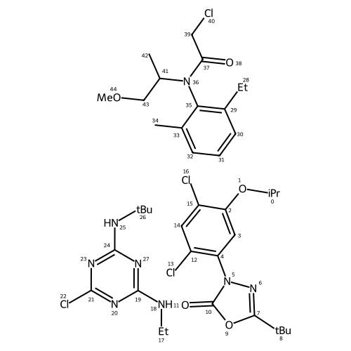 CC(C)Oc1cc(-n2nc(C(C)(C)C)oc2=O)c(Cl)cc1Cl.CCNc1nc(Cl)nc(NC(C)(C)C)n1.CCc1cccc(C)c1N(C(=O)CCl)C(C)COC